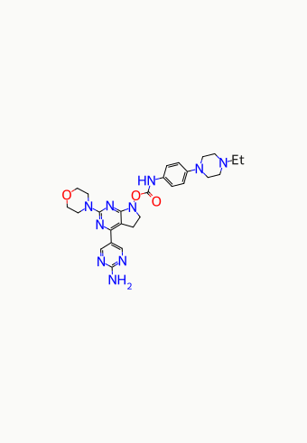 CCN1CCN(c2ccc(NC(=O)ON3CCc4c(-c5cnc(N)nc5)nc(N5CCOCC5)nc43)cc2)CC1